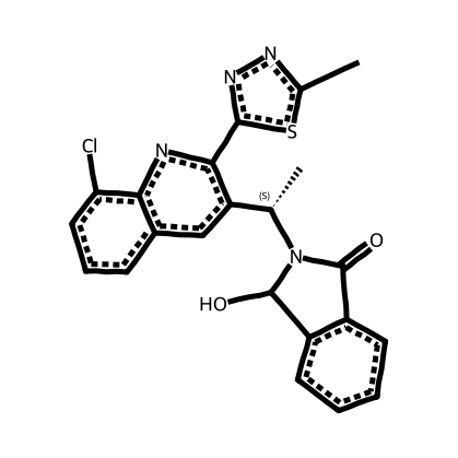 Cc1nnc(-c2nc3c(Cl)cccc3cc2[C@H](C)N2C(=O)c3ccccc3C2O)s1